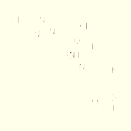 CC1OC(C)C2CN(c3ncc(Cl)cn3)CC1C2Oc1ncnc(Oc2ccc(S(C)(=O)=O)cc2F)c1F